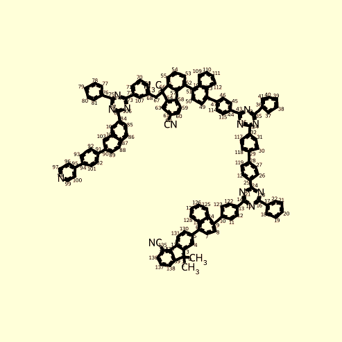 CC1(C)c2cc(-c3ccc(-c4ccc(-c5nc(-c6ccccc6)nc(-c6ccc(-c7ccc(-c8nc(-c9ccccc9)nc(-c9ccc(-c%10ccc(-c%11cccc%12c%11-c%11ccc(C#N)cc%11C%12(C)Cc%11cccc(-c%12nc(-c%13ccccc%13)nc(-c%13ccc%14ccc(-c%15ccc(-c%16ccncc%16)cc%15)cc%14c%13)n%12)c%11)c%11ccccc%10%11)cc9)n8)cc7)cc6)n5)cc4)c4ccccc34)ccc2-c2c(C#N)cccc21